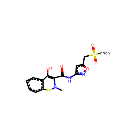 CCCCCCCCCS(=O)(=O)Cc1cc(NC(=O)C2=C(O)c3ccccc3SN2C)no1